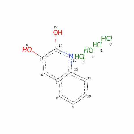 Cl.Cl.Cl.Cl.Oc1cc2ccccc2nc1O